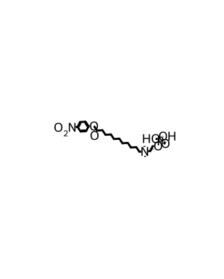 C[N+](C)(CCCCCCCCCCC(=O)Oc1ccc([N+](=O)[O-])cc1)CCOP(=O)(O)O